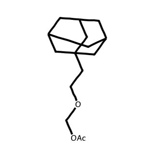 CC(=O)OCOCCC12CC3CC(CC(C3)C1)C2